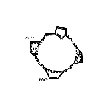 C1=Cc2cc3ccc(cc4nc(cc5ccc(cc1n2)[nH]5)C=C4)[nH]3.[Gd+3].[Mn+3]